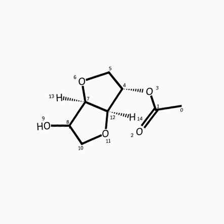 CC(=O)O[C@H]1CO[C@@H]2[C](O)CO[C@H]12